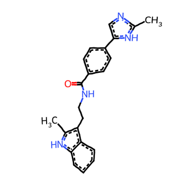 Cc1ncc(-c2ccc(C(=O)NCCc3c(C)[nH]c4ccccc34)cc2)[nH]1